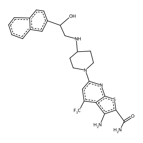 NC(=O)c1sc2nc(N3CCC(NCC(O)c4ccc5ccccc5c4)CC3)cc(C(F)(F)F)c2c1N